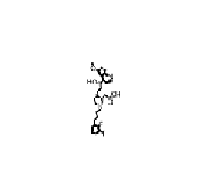 COc1ccc2nccc([C@@H](O)CC[C@@H]3CCN(CCCCc4cccc(F)c4F)C[C@@H]3CC(=O)O)c2c1